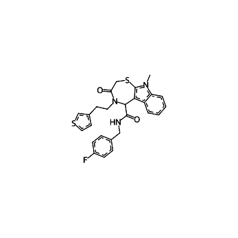 Cn1c2c(c3ccccc31)C(C(=O)NCc1ccc(F)cc1)N(CCc1ccsc1)C(=O)CS2